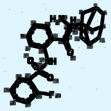 NC(=O)C12CC3CC(C1)C(NC(=O)c1ccccc1NS(=O)(=O)c1ccccc1F)C(C3)C2